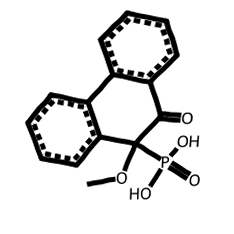 COC1(P(=O)(O)O)C(=O)c2ccccc2-c2ccccc21